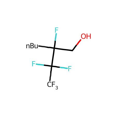 CCCCC(F)(CO)C(F)(F)C(F)(F)F